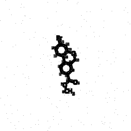 COC(=O)c1ccc2c(c1)COc1cc(Br)ccc1-2